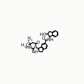 CC1(C)CC(=O)N([C@@H]2CCc3ccc(C(=O)N[C@@H]4c5ccccc5C[C@H]4O)cc32)C(=N)N1